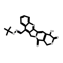 CC(C)(C)O/N=C/c1c2c(nc3ccccc13)-c1cc3c(c(=O)n1C2)COC(=O)C3O